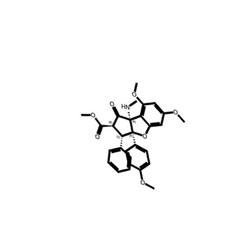 CN[C@@]12C(=O)[C@H](C(=O)OC)[C@@H](c3ccccc3)[C@]1(c1ccc(OC)cc1)Oc1cc(OC)cc(OC)c12